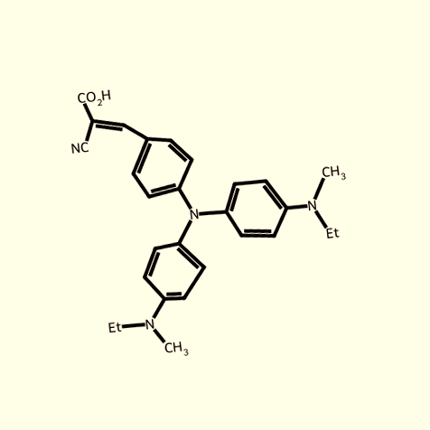 CCN(C)c1ccc(N(c2ccc(/C=C(\C#N)C(=O)O)cc2)c2ccc(N(C)CC)cc2)cc1